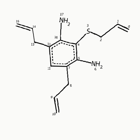 C=CCSc1c(N)c(CC=C)cc(CC=C)c1N